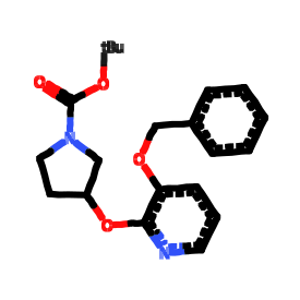 CC(C)(C)OC(=O)N1CCC(Oc2ncccc2OCc2ccccc2)C1